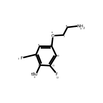 CC(C)(C)c1c(F)cc(OCCN)cc1F